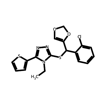 CCn1c(SC(C2=COCO2)c2ccccc2Cl)nnc1-c1cccs1